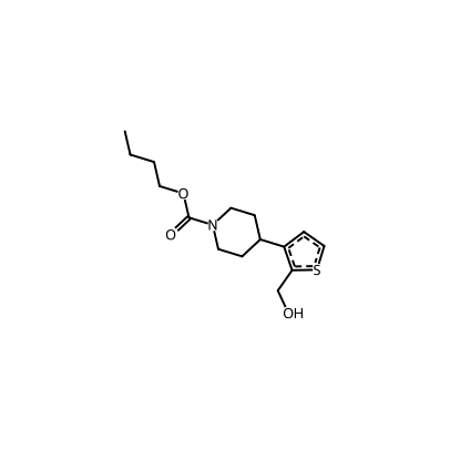 CCCCOC(=O)N1CCC(c2ccsc2CO)CC1